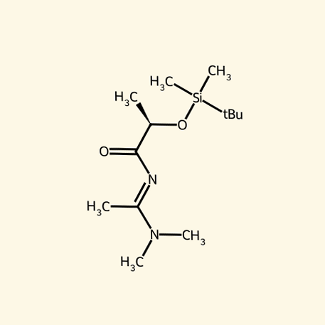 C/C(=N\C(=O)[C@@H](C)O[Si](C)(C)C(C)(C)C)N(C)C